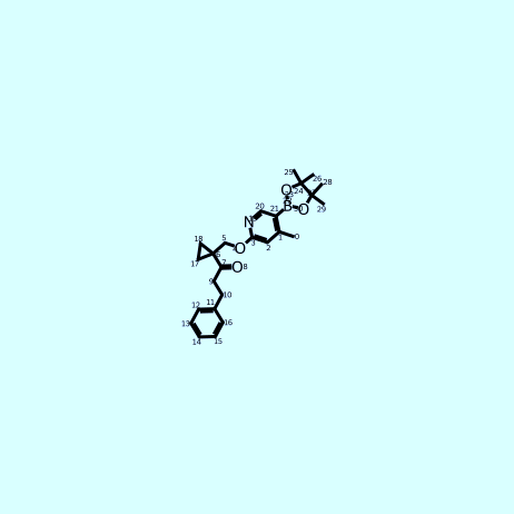 Cc1cc(OCC2(C(=O)CCc3ccccc3)CC2)ncc1B1OC(C)(C)C(C)(C)O1